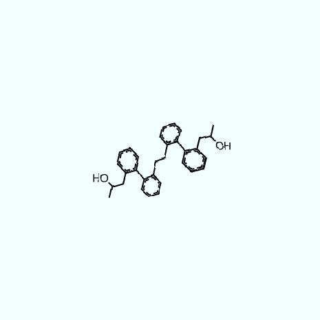 CC(O)Cc1ccccc1-c1ccccc1CCc1ccccc1-c1ccccc1CC(C)O